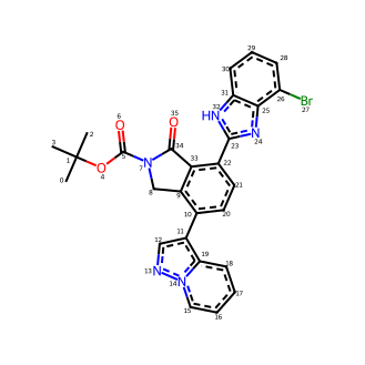 CC(C)(C)OC(=O)N1Cc2c(-c3cnn4ccccc34)ccc(-c3nc4c(Br)cccc4[nH]3)c2C1=O